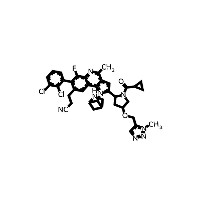 Cc1nc2c(F)c(-c3cccc(Cl)c3Cl)c(CCC#N)cc2c2c1cc(C1CC(OCc3cnnn3C)CN1C(=O)C1CC1)n2C1C2CNC1C2